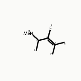 CNC(C)C(F)=C(C)C